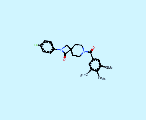 COc1cc(C(=O)N2CCC3(CC2)CN(c2ccc(F)cc2)C3=O)cc(OC)c1OC